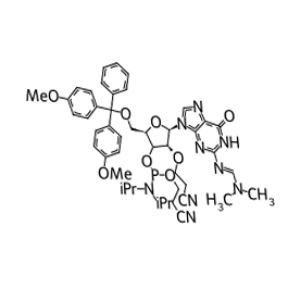 COc1ccc(C(OC[C@H]2O[C@@H](n3cnc4c(=O)[nH]c(/N=C/N(C)C)nc43)[C@@H](OCCC#N)C2OP(OCCC#N)N(C(C)C)C(C)C)(c2ccccc2)c2ccc(OC)cc2)cc1